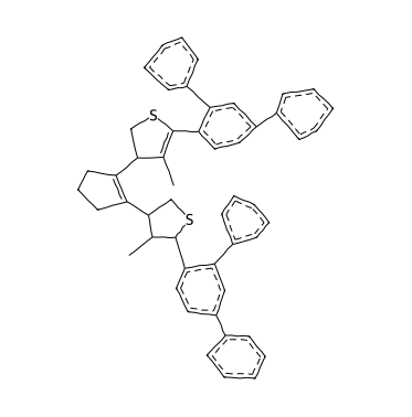 CC1=C(c2ccc(-c3ccccc3)cc2-c2ccccc2)SCC1C1=C(C2CSC(c3ccc(-c4ccccc4)cc3-c3ccccc3)C2C)CCC1